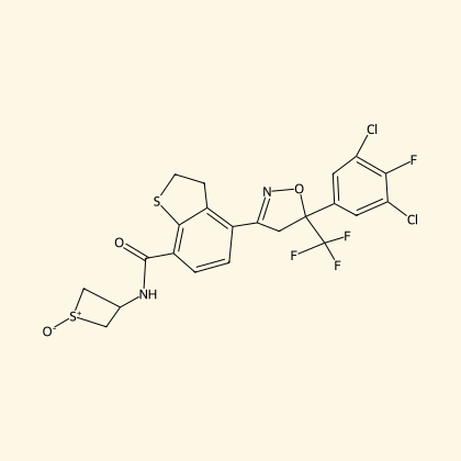 O=C(NC1C[S+]([O-])C1)c1ccc(C2=NOC(c3cc(Cl)c(F)c(Cl)c3)(C(F)(F)F)C2)c2c1SCC2